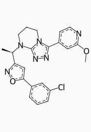 COc1cc(-c2nnc3n2CCCN3[C@H](C)c2cc(-c3cccc(Cl)c3)on2)ccn1